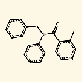 Cc1cnccc1C(=O)N(Cc1ccccc1)c1ccccc1